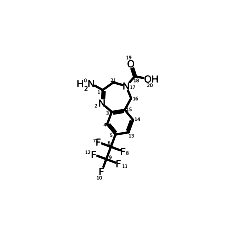 NC1=Nc2cc(C(F)(F)C(F)(F)F)ccc2CN(C(=O)O)C1